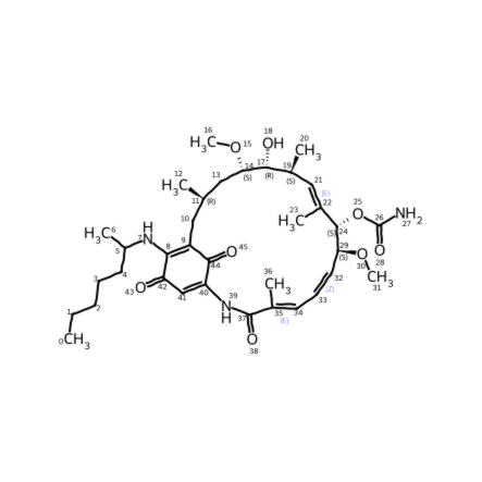 CCCCCC(C)NC1=C2C[C@@H](C)C[C@H](OC)[C@H](O)[C@@H](C)/C=C(\C)[C@H](OC(N)=O)[C@@H](OC)/C=C\C=C(/C)C(=O)NC(=CC1=O)C2=O